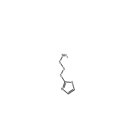 NSSSc1nccs1